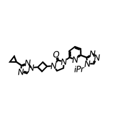 CC(C)n1cnnc1-c1cccc(N2CCN(C3CC(n4cnc(C5CC5)n4)C3)C2=O)n1